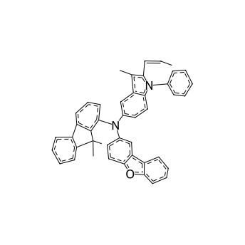 C/C=C\c1c(C)c2cc(N(c3ccc4oc5ccccc5c4c3)c3cccc4c3C(C)(C)c3ccccc3-4)ccc2n1-c1ccccc1